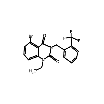 CCn1c(=O)n(Cc2ccccc2C(F)(F)F)c(=O)c2c(Br)cccc21